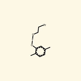 Cc1ccc(C)c([O][Y][O]CCC(C)C)c1